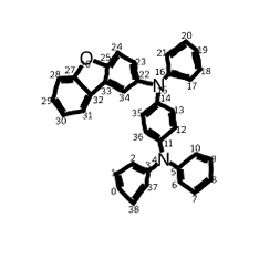 c1ccc(N(c2ccccc2)c2ccc(N(c3ccccc3)c3ccc4oc5ccccc5c4c3)cc2)cc1